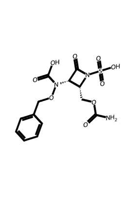 NC(=O)OC[C@@H]1[C@H](N(OCc2ccccc2)C(=O)O)C(=O)N1S(=O)(=O)O